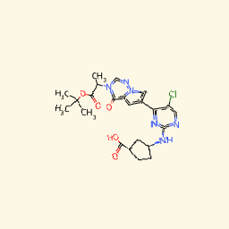 CC(C(=O)OC(C)(C)C)n1cnn2cc(-c3nc(N[C@H]4CC[C@@H](C(=O)O)C4)ncc3Cl)cc2c1=O